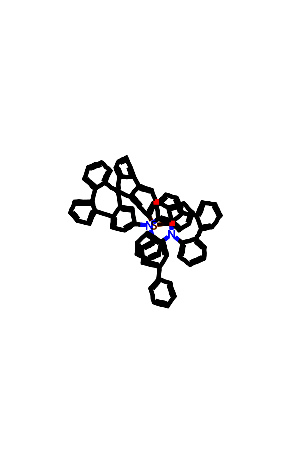 c1ccc(-c2ccc(N(c3ccc4c(c3)C3(c5ccccc5-c5ccccc5-4)c4ccccc4-c4cc5c(cc43)sc3ccccc35)c3cccc4c3N(c3ccccc3)c3ccccc3-c3ccccc3-4)cc2)cc1